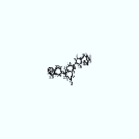 CN1Cc2cc(-c3ccc4cncnc4c3)ccc2C(c2ccc3occc3c2)C1